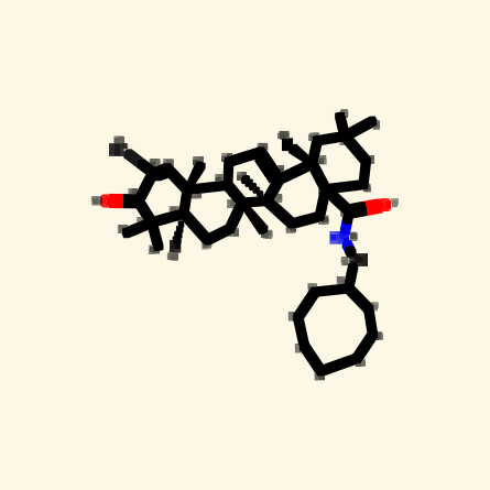 CC1(C)CCC2(C(=O)NBC3CCCCCCC3)CC[C@]3(C)C(=CCC4[C@@]5(C)C=C(C#N)C(=O)C(C)(C)[C@@H]5CC[C@]43C)[C@@H]2C1